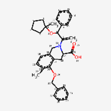 C=C(C(OC1(C)CCCC1)c1ccccc1)N1Cc2ccc(C)c(OCc3ccccc3)c2CC1C(=O)O